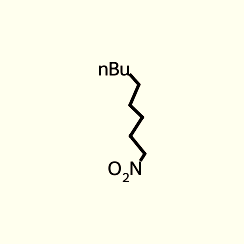 CCCCCCCCC[N+](=O)[O-]